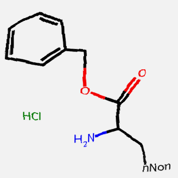 CCCCCCCCCCC(N)C(=O)OCc1ccccc1.Cl